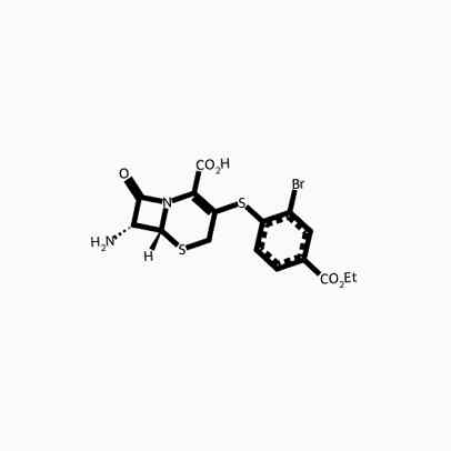 CCOC(=O)c1ccc(SC2=C(C(=O)O)N3C(=O)[C@@H](N)[C@H]3SC2)c(Br)c1